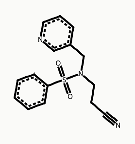 N#CCCN(Cc1cccnc1)S(=O)(=O)c1[c]cccc1